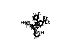 CCN(CC)C1CCN(C(=O)O)C(C=C2SC(N3CCCCN3)=NC2=S)(c2cccc(F)c2)C1.Cl.Cl